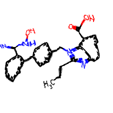 CCCc1nc2cccc(C(=O)O)c2n1Cc1ccc(-c2ccccc2C(=N)NO)cc1